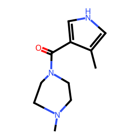 Cc1c[nH]cc1C(=O)N1CCN(C)CC1